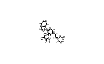 O=C(O)C(=O)O.c1cc(-n2ncc3c2CCCC3)ccc1CCN1CCOCC1